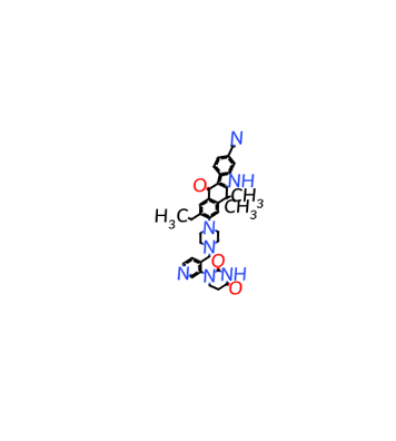 CCc1cc2c(cc1N1CCN(Cc3ccncc3N3CCC(=O)NC3=O)CC1)C(C)(C)c1[nH]c3cc(C#N)ccc3c1C2=O